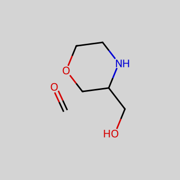 C=O.OCC1COCCN1